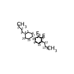 CCCC[C@H]1CC[C@H](c2ccc(CCC)c(F)c2F)CC1